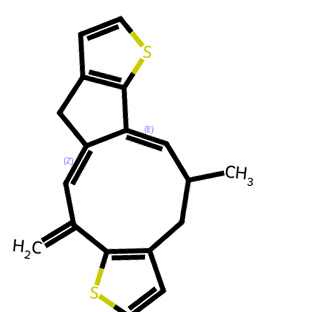 C=C1/C=C2/Cc3ccsc3/C2=C/C(C)Cc2ccsc21